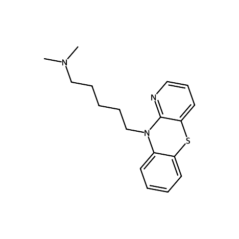 CN(C)CCCCCN1c2ccccc2Sc2cccnc21